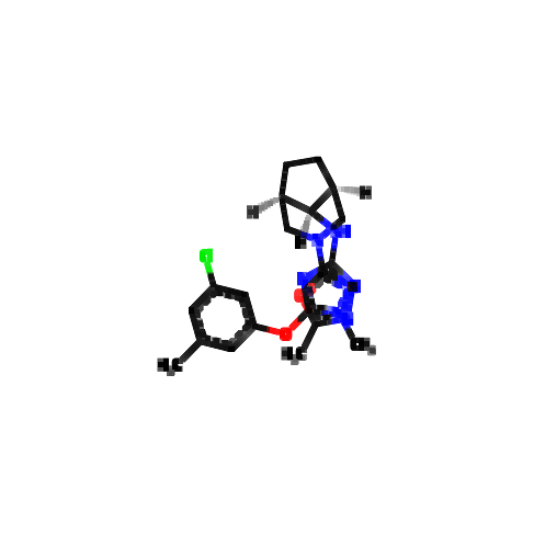 Cc1cc(Cl)cc(Oc2nc(N[C@H]3[C@@H]4CC[C@H]3CN(c3nnc(C)o3)C4)nn2C)c1